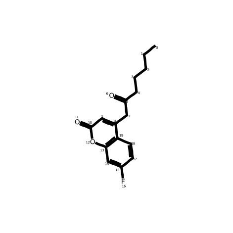 CCCCCC(=O)Cc1cc(=O)oc2cc(F)ccc12